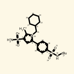 Cc1c(S(N)(=O)=O)cc(-c2ccc(S(=O)(=O)NC(C)(C)C)cc2)n1CC1CCCCC1